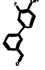 O=Cc1cccc(-c2ccc(O)c(F)c2)c1